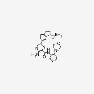 BOC1CCc2ccc(-c3cnc(N)c(C(=O)Nc4cnccc4N4CCOCC4)n3)cc21